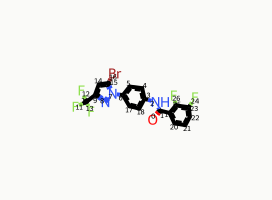 O=C(Nc1ccc(-n2nc(C(F)(F)F)cc2Br)cc1)c1cccc(F)c1F